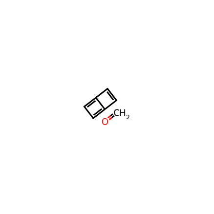 C=O.c1cc2ccc1-2